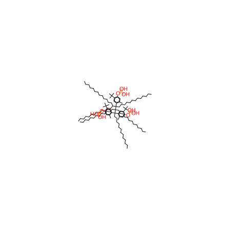 CCCCCCCCCCCCCC(CCCCCCCCCCCCC)C(CCCCCCCCCCCCC)(c1cc(C(C)(C)C)c(OP(O)O)cc1C)C(CCCCCCCCCCCCC)(CCCCCCCCCCCCC)C(CCCCCCCCCCCCC)(c1cc(C(C)(C)C)c(OP(O)O)cc1C)c1cc(C(C)(C)C)c(OP(O)O)cc1C